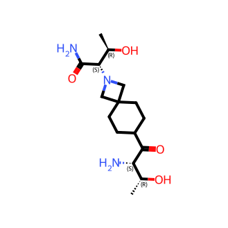 C[C@@H](O)[C@H](N)C(=O)C1CCC2(CC1)CN([C@H](C(N)=O)[C@@H](C)O)C2